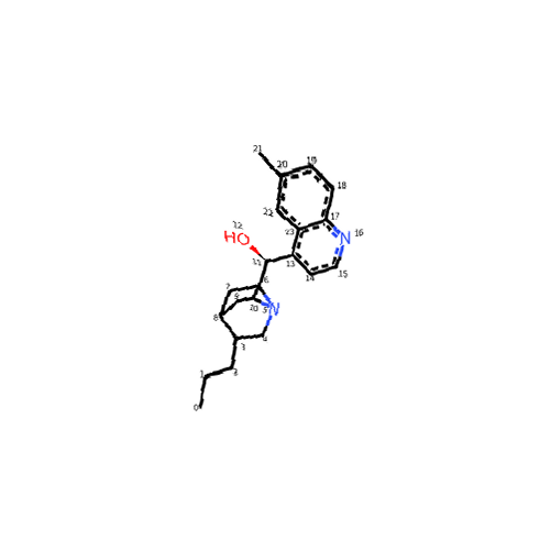 CCCC1CN2CCC1CC2[C@@H](O)c1ccnc2ccc(C)cc12